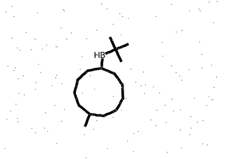 CC1CCCCCC(BC(C)(C)C)CCCC1